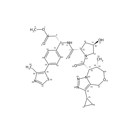 COC(=O)C[C@H](NC(=O)[C@@H]1C[C@@H](O)CN1C(=O)[C@@H]1[C@H](C)COCc2c(C3CC3)nnn21)c1ccc(-c2scnc2C)cc1